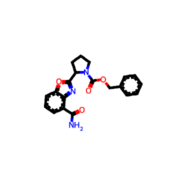 NC(=O)c1cccc2oc(C3CCCN3C(=O)OCc3ccccc3)nc12